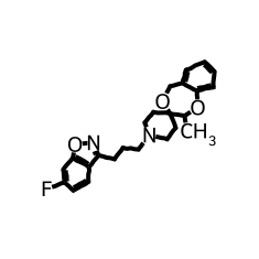 CC1Oc2ccccc2COC12CCN(CCCc1noc3cc(F)ccc13)CC2